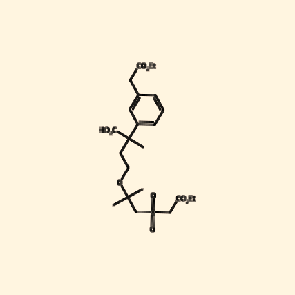 CCOC(=O)Cc1cccc(C(C)(CCOC(C)(C)CS(=O)(=O)CC(=O)OCC)C(=O)O)c1